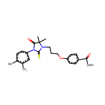 COC(=O)c1ccc(OCCCN2C(=S)N(c3ccc(C#N)c(C(F)(F)F)c3)C(=O)C2(C)C)cc1